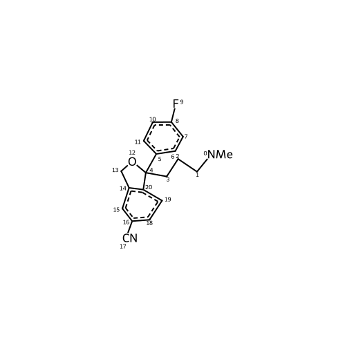 CNCCCC1(c2ccc(F)cc2)OCc2cc(C#N)ccc21